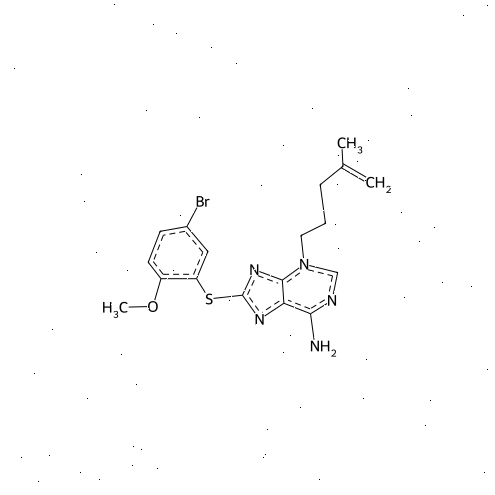 C=C(C)CCCn1cnc(N)c2nc(Sc3cc(Br)ccc3OC)nc1-2